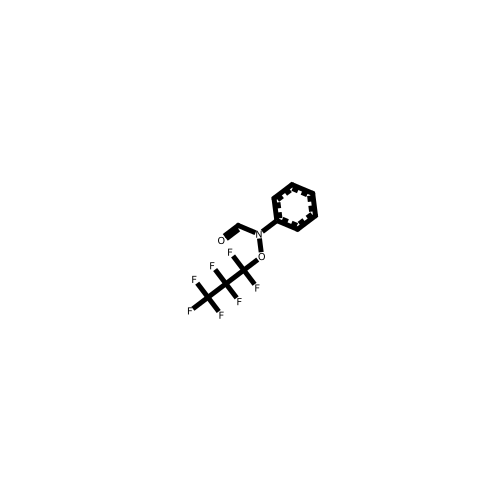 O=[C]N(OC(F)(F)C(F)(F)C(F)(F)F)c1ccccc1